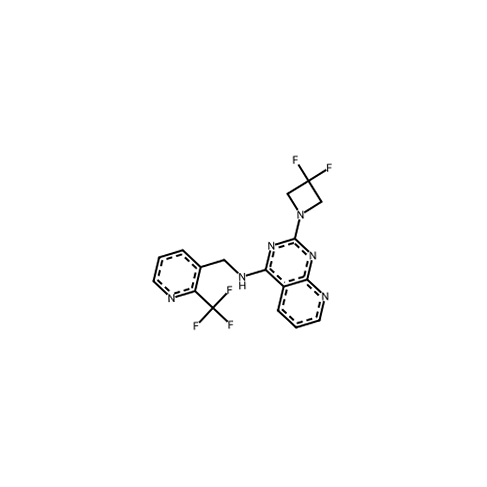 FC1(F)CN(c2nc(NCc3cccnc3C(F)(F)F)c3cccnc3n2)C1